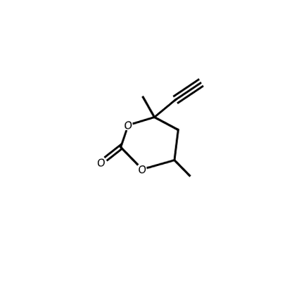 C#CC1(C)CC(C)OC(=O)O1